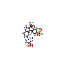 Cc1nc2ccc(N3CCC(C)(O)CC3)cc2c(-c2ccc(S(C)(=O)=O)cc2)c1C(=O)C(F)(F)F